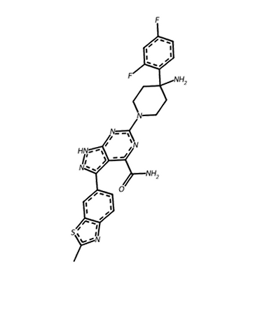 Cc1nc2ccc(-c3n[nH]c4nc(N5CCC(N)(c6ccc(F)cc6F)CC5)nc(C(N)=O)c34)cc2s1